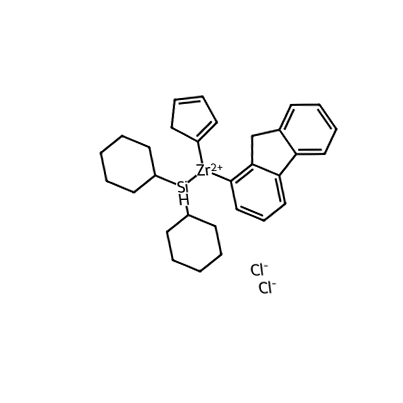 C1=CC[C]([Zr+2]([c]2cccc3c2Cc2ccccc2-3)[SiH](C2CCCCC2)C2CCCCC2)=C1.[Cl-].[Cl-]